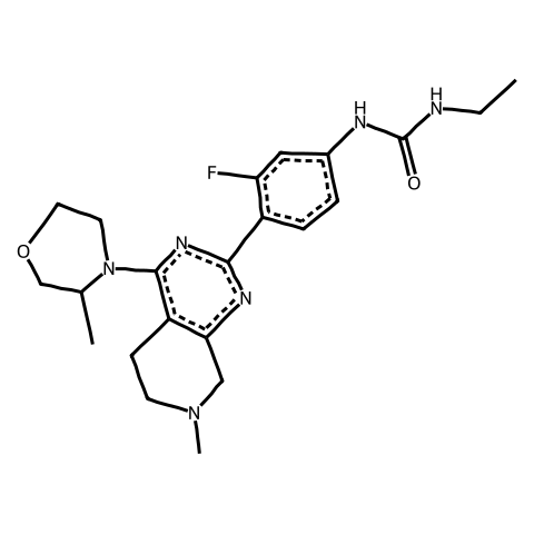 CCNC(=O)Nc1ccc(-c2nc3c(c(N4CCOCC4C)n2)CCN(C)C3)c(F)c1